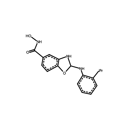 CC(C)c1ccccc1NC1Nc2cc(C(=O)NO)ccc2O1